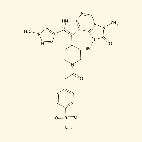 CC(C)n1c(=O)n(C)c2cnc3[nH]c(-c4cnn(C)c4)c(C4CCN(C(=O)Cc5ccc(S(C)(=O)=O)cc5)CC4)c3c21